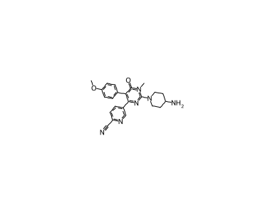 COc1ccc(-c2c(-c3ccc(C#N)nc3)nc(N3CCC(N)CC3)n(C)c2=O)cc1